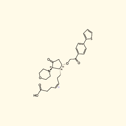 O=C(O)CC/C=C\CC[C@H]1[C@@H](OCC(=O)c2ccc(-c3cccs3)cc2)CC(=O)[C@@H]1N1CCOCC1